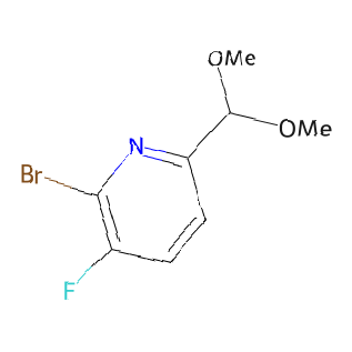 COC(OC)c1ccc(F)c(Br)n1